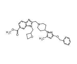 COC(=O)c1ccc2nc(CN3CCC(n4nc(OCc5ccccc5)cc4C)CC3)n(CC3CCO3)c2c1